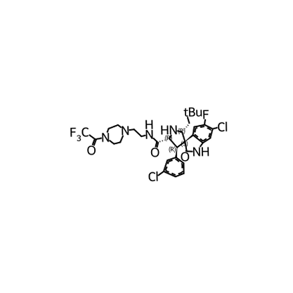 CC(C)(C)C[C@H]1N[C@@H](C(=O)NCCN2CCN(C(=O)C(F)(F)F)CC2)[C@H](c2cccc(Cl)c2)[C@@]12C(=O)Nc1cc(Cl)c(F)cc12